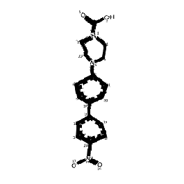 O=C(O)N1CCN(c2ccc(-c3ccc([N+](=O)[O-])cc3)cc2)CC1